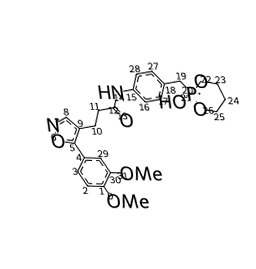 COc1ccc(-c2oncc2CCC(=O)Nc2ccc(C[P]3(O)OCCCO3)cc2)cc1OC